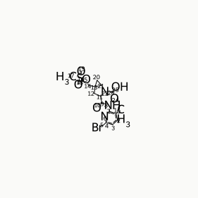 Cc1ccc(Br)nc1NC(=O)C1CC2(COS(C)(=O)=O)CC2N1C(=O)O